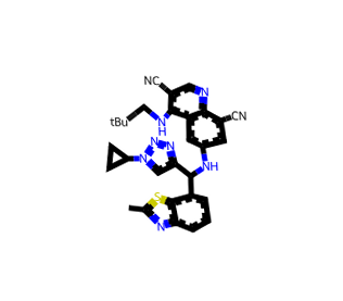 Cc1nc2cccc(C(Nc3cc(C#N)c4ncc(C#N)c(NCC(C)(C)C)c4c3)c3cn(C4CC4)nn3)c2s1